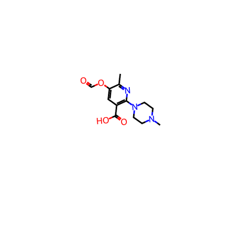 Cc1nc(N2CCN(C)CC2)c(C(=O)O)cc1OC=O